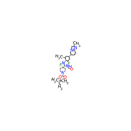 Cc1cn2cc(-c3cc(C)c(/N=C(\NC=O)C4(F)CCN(C(=O)OC(C)(C)C)CC4)c(F)c3)ccc2n1